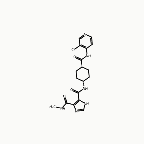 CNC(=O)c1nc[nH]c1C(=O)N[C@H]1CC[C@H](C(=O)Nc2ccncc2Cl)CC1